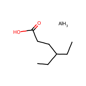 CCC(CC)CCC(=O)O.[AlH3]